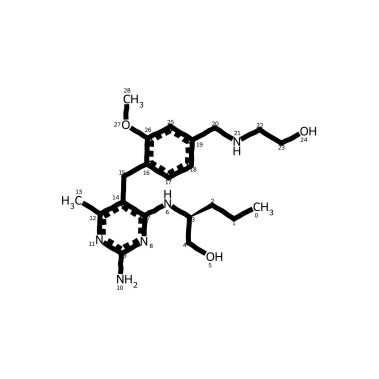 CCC[C@@H](CO)Nc1nc(N)nc(C)c1Cc1ccc(CNCCO)cc1OC